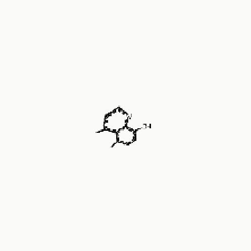 Cc1ccnc2c(O)ccc(C)c12